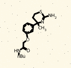 CCCCNC(=O)COc1cccc(C2(C)CCSC(N)=N2)c1